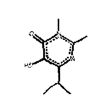 Cc1nc(C(C)C)c(S)c(=O)n1C